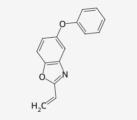 C=Cc1nc2cc(Oc3ccccc3)ccc2o1